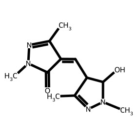 CC1=NN(C)C(=O)/C1=C\C1C(C)=NN(C)C1O